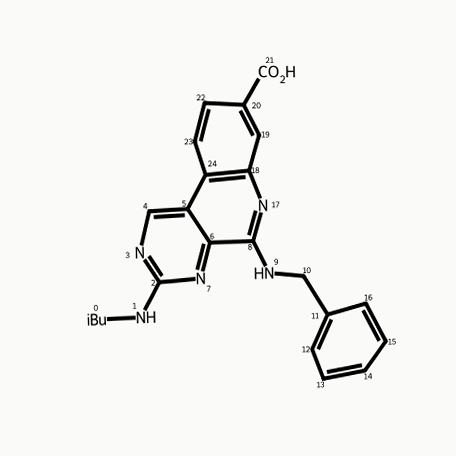 CCC(C)Nc1ncc2c(n1)c(NCc1ccccc1)nc1cc(C(=O)O)ccc12